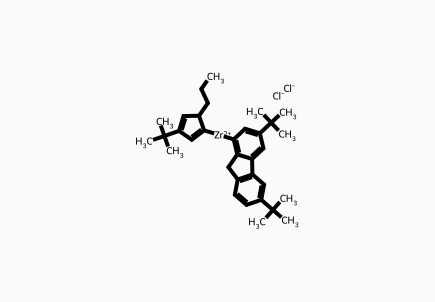 CCCC1C=C(C(C)(C)C)C=[C]1[Zr+2][c]1cc(C(C)(C)C)cc2c1Cc1ccc(C(C)(C)C)cc1-2.[Cl-].[Cl-]